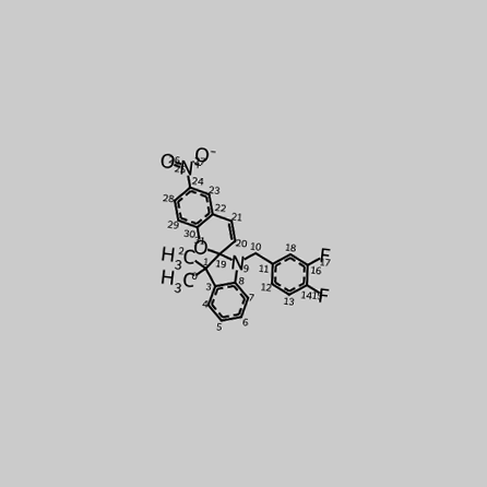 CC1(C)c2ccccc2N(Cc2ccc(F)c(F)c2)C12C=Cc1cc([N+](=O)[O-])ccc1O2